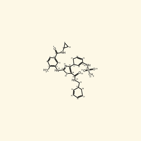 Cc1ccc(C(=O)NC2CC2)cc1Nc1nc(C2C=C(NS(C)(=O)=O)C=CC2)c(C(=O)NCC2C=CC=CC2)s1